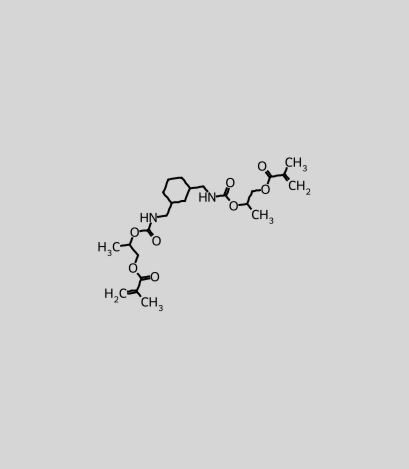 C=C(C)C(=O)OCC(C)OC(=O)NCC1CCCC(CNC(=O)OC(C)COC(=O)C(=C)C)C1